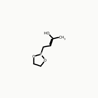 CC(O)=CCP1OCCO1